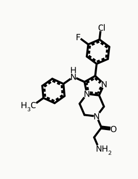 Cc1ccc(Nc2c(-c3ccc(Cl)c(F)c3)nc3n2CCN(C(=O)CN)C3)cc1